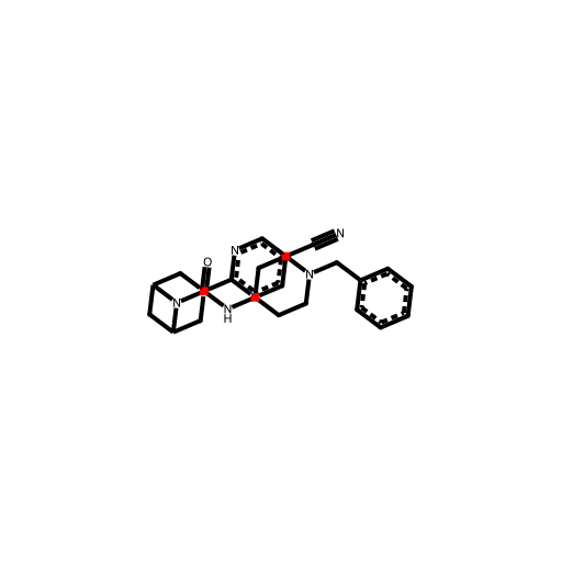 N#Cc1cnc(N2CC3CC(C2)N3C(=O)NC2CCN(Cc3ccccc3)CC2)nc1